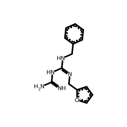 N=C(N)NC(=NCc1ccco1)NCc1ccccc1